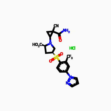 Cl.N#CC1(C(N)=O)CC1N1C[C@H](S(=O)(=O)c2ccc(-n3cccn3)cc2C(F)(F)F)C[C@H]1C(=O)O